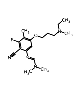 CCN(C)CCCOc1cc(/N=C/N(C)C)c(C#N)c(F)c1C